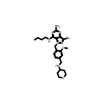 CCCCNc1nc(N)nc2c(Br)nn(Cc3ccc(CNC4CCOCC4)cc3OC)c12